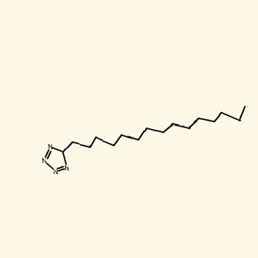 [CH2]CCCCCCCCCCCCCCC1N=NN=N1